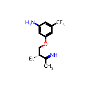 CC[C@H](COc1cc(N)cc(C(F)(F)F)c1)C(C)=N